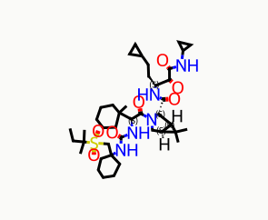 CCC(C)(C)S(=O)(=O)CC1(NC(=O)N[C@H](C(=O)N2C[C@H]3[C@@H]([C@H]2C(=O)N[C@@H](CCC2CC2)C(=O)C(=O)NC2CC2)C3(C)C)C2(C)CCCCC2)CCCCC1